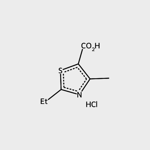 CCc1nc(C)c(C(=O)O)s1.Cl